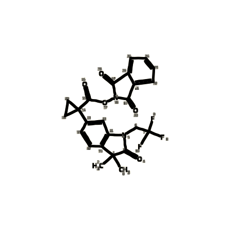 CC1(C)C(=O)N(CC(F)(F)F)c2cc(C3(C(=O)ON4C(=O)c5ccccc5C4=O)CC3)ccc21